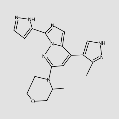 Cc1n[nH]cc1-c1cc(N2CCOCC2C)nn2c(-c3ccn[nH]3)ncc12